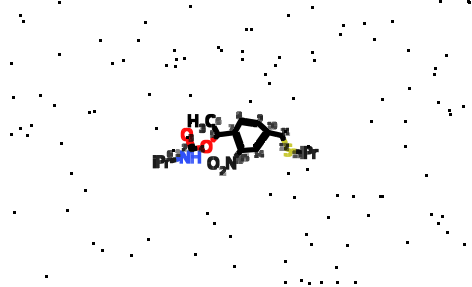 CC(C)NC(=O)OC(C)c1ccc(CSC(C)C)cc1[N+](=O)[O-]